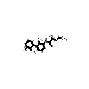 C=C/N=C(\CC)C(=N)Nc1cccc(-c2cccc(Br)c2C)c1C